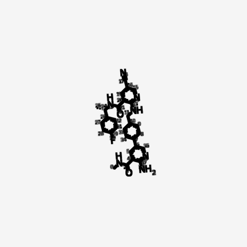 CNC(=O)c1cc(-c2ccc(CNc3ncc(C#N)cc3C(=O)N[C@@H](C)c3ccc(F)cc3)cc2)cnc1N